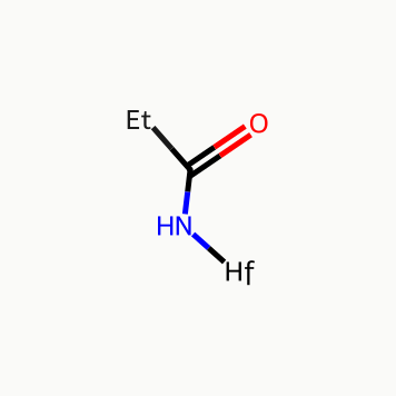 CCC(=O)[NH][Hf]